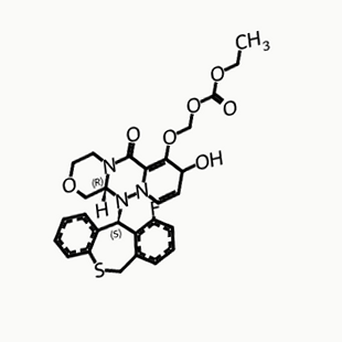 CCOC(=O)OCOC1=C2C(=O)N3CCOC[C@H]3N([C@@H]3c4ccccc4SCc4cccc(F)c43)N2C=CC1O